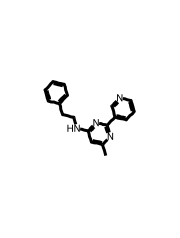 Cc1cc(NCCc2ccccc2)nc(-c2cccnc2)n1